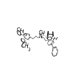 COc1ccc(CCCN(C)CCC2(O)CC3CC[C@H]2C=C3c2ccccc2)cc1OC